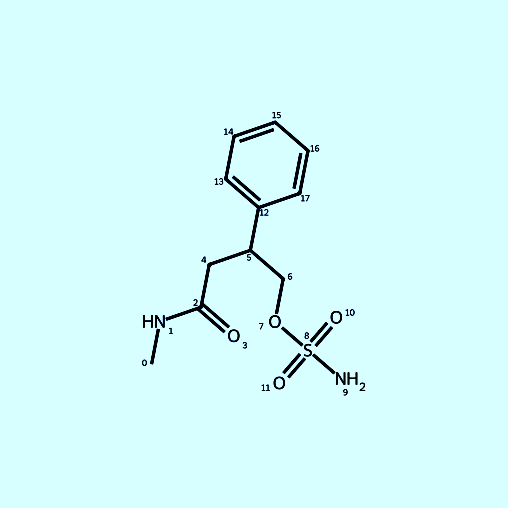 CNC(=O)CC(COS(N)(=O)=O)c1ccccc1